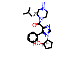 CC(C)C[C@@H]1CNCCN1C(=O)c1ncn([C@@H]2CCC[C@H]2O)c1-c1ccccc1